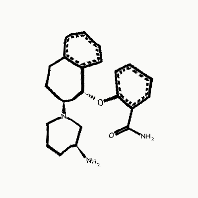 NC(=O)c1ccccc1O[C@H]1c2ccccc2CC[C@@H]1N1CCC[C@H](N)C1